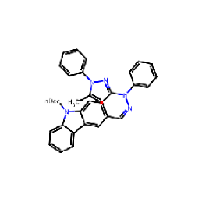 CCCCCCCCCCn1c2ccccc2c2cc(/C=N\N(c3ccccc3)c3cc(C)n(-c4ccccc4)n3)ccc21